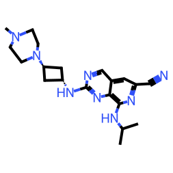 CC(C)Nc1nc(C#N)cc2cnc(N[C@H]3C[C@H](N4CCN(C)CC4)C3)nc12